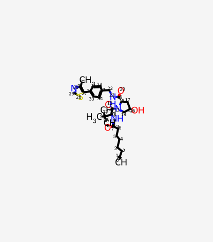 C#CCCCCCC(=O)N[C@H](C(=O)N1C[C@H](O)C[C@H]1C(=O)NCc1ccc(-c2scnc2C)cc1)C(C)(C)C